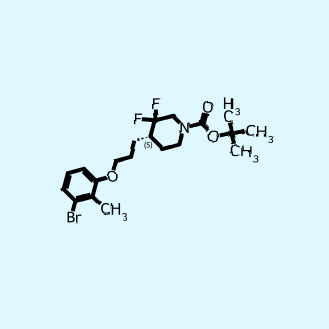 Cc1c(Br)cccc1OCCC[C@H]1CCN(C(=O)OC(C)(C)C)CC1(F)F